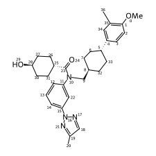 COc1ccc([C@H]2CC[C@H](CN(c3cccc(-n4ncc(C)n4)c3)C(=O)[C@H]3CC[C@H](O)CC3)CC2)cc1C